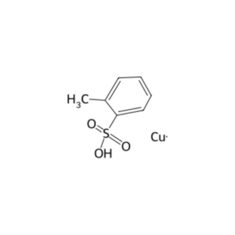 Cc1ccccc1S(=O)(=O)O.[Cu]